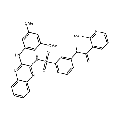 COc1cc(Nc2nc3ccccc3nc2NS(=O)(=O)c2cccc(NC(=O)c3cccnc3OC)c2)cc(OC)c1